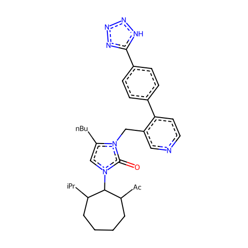 CCCCc1cn(C2C(C(C)=O)CCCCC2C(C)C)c(=O)n1Cc1cnccc1-c1ccc(-c2nnn[nH]2)cc1